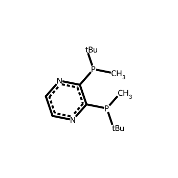 CP(c1nccnc1P(C)C(C)(C)C)C(C)(C)C